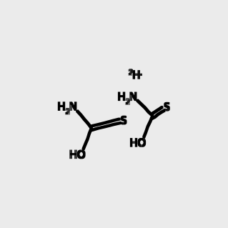 NC(O)=S.NC(O)=S.[2H]